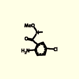 CON(C)C(=O)c1cc(Cl)ccc1N